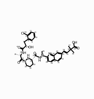 C[C@H](NC(=O)[C@@H](O)Cc1ccccc1Cl)C(=O)N1CCC[C@@H](C(=O)NN(C)c2ccc3ccc(/C=C/C(C)(C)C(=O)O)cc3n2)N1